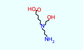 NCCCCN(CCCO)CCCCCC(=O)O